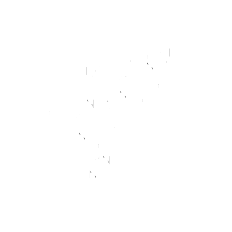 C[C@@H]1CN(C)CCN1c1nc(Cl)nc(NN)c1F